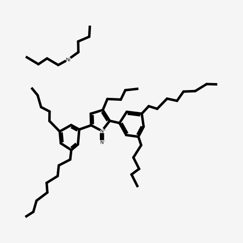 CCCCCCCCc1cc(CCCCC)cc(C2=CC(CCCC)=C(c3cc(CCCCC)cc(CCCCCCCC)c3)[N+]2=[N-])c1.CCC[CH2][Ni][CH2]CCC